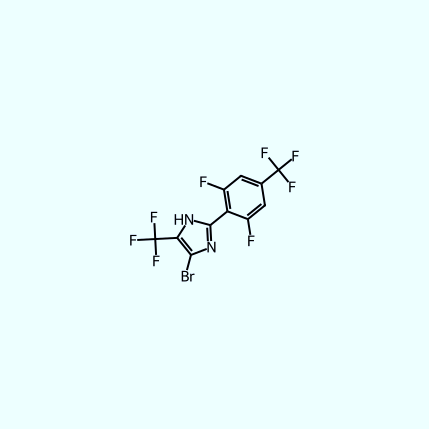 Fc1cc(C(F)(F)F)cc(F)c1-c1nc(Br)c(C(F)(F)F)[nH]1